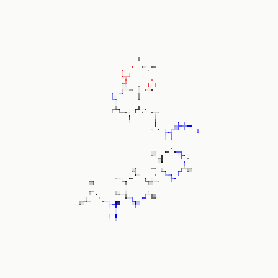 NN(CCc1ccnc2c1OCCO2)c1cc(-c2ccc(NC3CC3)nc2)ncn1